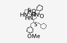 COc1ccc(CC(SCC2CCCCC2)C(CNC(=O)c2ccccc2O)NC(=O)C2NCCS2)cc1